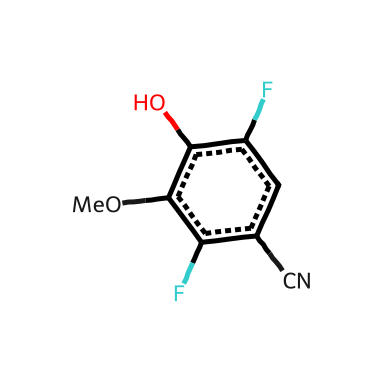 COc1c(O)c(F)cc(C#N)c1F